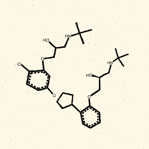 CC(C)(C)NCC(O)COc1cc(Cl)ccc1Cl.CC(C)(C)NC[C@H](O)COc1ccccc1C1CCCC1